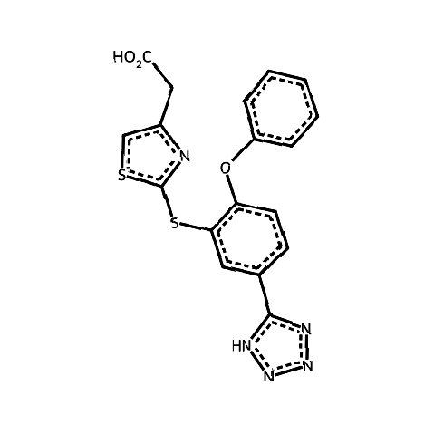 O=C(O)Cc1csc(Sc2cc(-c3nnn[nH]3)ccc2Oc2ccccc2)n1